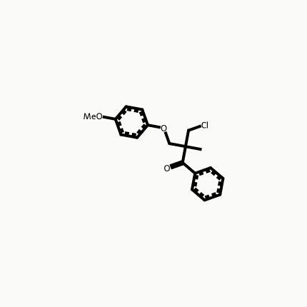 COc1ccc(OCC(C)(CCl)C(=O)c2ccccc2)cc1